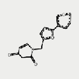 O=C1C=CN(Cc2ccc(-c3ccccc3)o2)C(=O)C1